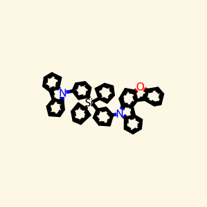 c1ccc([Si](c2ccccc2)(c2cccc(-n3c4ccccc4c4ccccc43)c2)c2cccc(-n3c4ccccc4c4c5c(ccc43)oc3ccccc35)c2)cc1